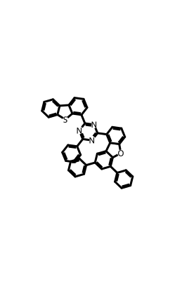 c1ccc(-c2cc(-c3ccccc3)c3oc4cccc(-c5nc(-c6ccccc6)nc(-c6cccc7c6sc6ccccc67)n5)c4c3c2)cc1